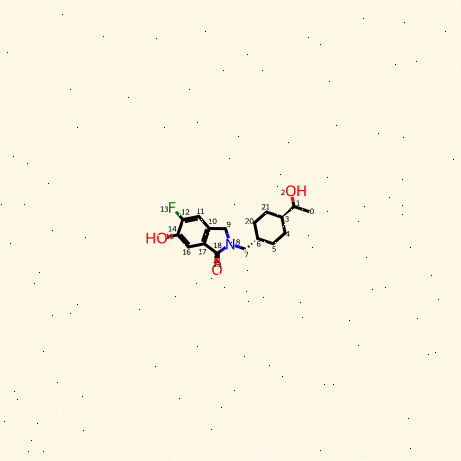 CC(O)[C@H]1CC[C@H](CN2Cc3cc(F)c(O)cc3C2=O)CC1